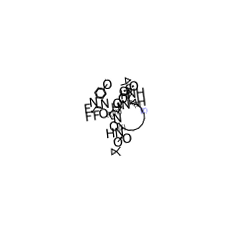 COc1ccc2nc(C(F)(F)F)c(O[C@@H]3C[C@H]4C(=O)N[C@]5(C(=O)NS(=O)(=O)C6(C)CC6)C[C@H]5/C=C\CCCCC[C@H](NC(=O)OCC5(C)CC5)C(=O)N4C3)nc2c1